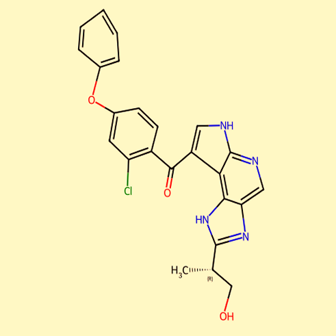 C[C@@H](CO)c1nc2cnc3[nH]cc(C(=O)c4ccc(Oc5ccccc5)cc4Cl)c3c2[nH]1